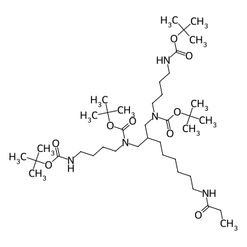 CCC(=O)NCCCCCCC(CN(CCCCNC(=O)OC(C)(C)C)C(=O)OC(C)(C)C)CN(CCCCNC(=O)OC(C)(C)C)C(=O)OC(C)(C)C